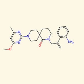 C=C(CN1CCCC2(CCN(c3nc(C)cc(OC)n3)CC2)C1=O)c1ccccc1N